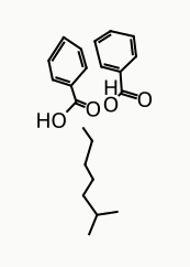 CCCCCC(C)C.O=C(O)c1ccccc1.O=C(O)c1ccccc1